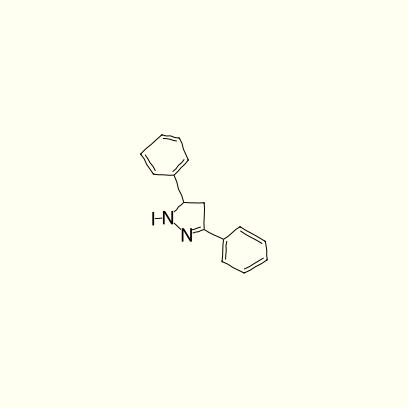 IN1N=C(c2ccccc2)CC1c1ccccc1